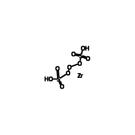 O=S(=O)(O)OOOS(=O)(=O)O.[Zr]